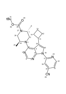 C[C@@H]1CN(c2ncnc3c2c(C2CCC2)cn3-c2cc(C#N)ccn2)[C@@H](C)CN1C(=O)OC(C)(C)C